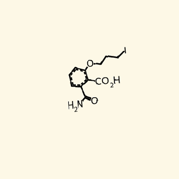 NC(=O)c1cccc(OCCCI)c1C(=O)O